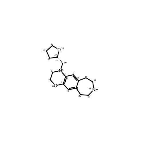 c1c2c(cc3c1OCCN3C[C@@H]1CCCO1)CCNCC2